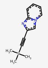 C[Si](C)(C)C#Cc1cn2ccccc2n1